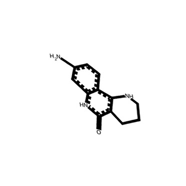 Nc1ccc2c3c(c(=O)[nH]c2c1)CCCN3